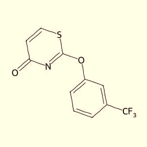 O=c1ccsc(Oc2cccc(C(F)(F)F)c2)n1